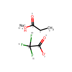 CCC(=O)O.O=C([O-])C(F)(F)F.[Na+]